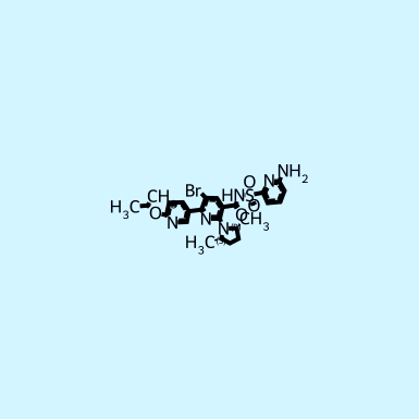 CC(C)Oc1ccc(-c2nc(N3[C@H](C)CC[C@@H]3C)c(C(=O)NS(=O)(=O)c3cccc(N)n3)cc2Br)cn1